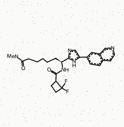 CNC(=O)CCCCC[C@H](NC(=O)C1CCC1(F)F)c1ncc(-c2ccc3ccncc3c2)[nH]1